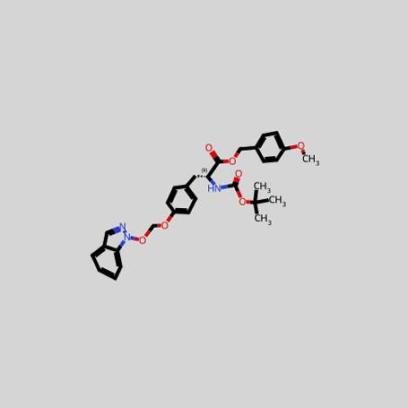 COc1ccc(COC(=O)[C@@H](Cc2ccc(OCOn3ncc4ccccc43)cc2)NC(=O)OC(C)(C)C)cc1